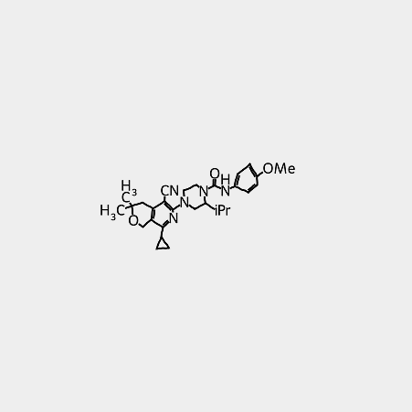 COc1ccc(NC(=O)N2CCN(c3nc(C4CC4)c4c(c3C#N)CC(C)(C)OC4)CC2C(C)C)cc1